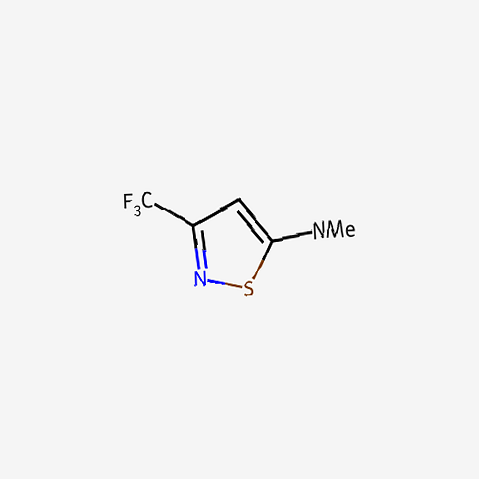 CNc1cc(C(F)(F)F)ns1